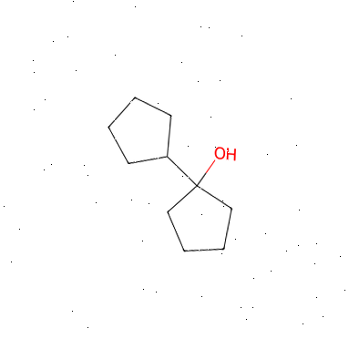 OC1(C2CCCC2)CCCC1